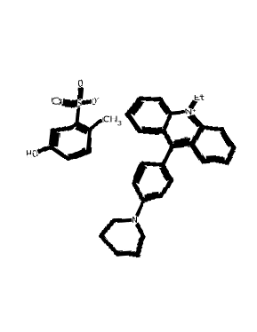 CC[n+]1c2ccccc2c(-c2ccc(N3CCCCC3)cc2)c2ccccc21.Cc1ccc(O)cc1S(=O)(=O)[O-]